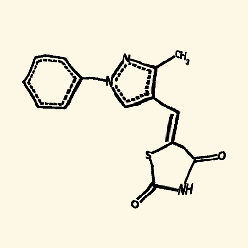 Cc1nn(-c2ccccc2)cc1/C=C1\SC(=O)NC1=O